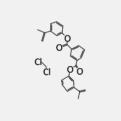 C=C(C)c1cccc(OC(=O)c2cccc(C(=O)Oc3cccc(C(=C)C)c3)c2)c1.ClCCl